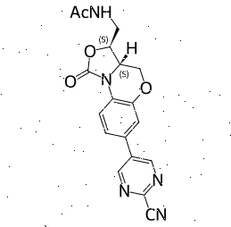 CC(=O)NC[C@@H]1OC(=O)N2c3ccc(-c4cnc(C#N)nc4)cc3OC[C@@H]12